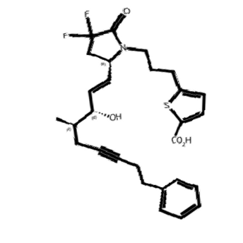 C[C@H](CC#CCCc1ccccc1)[C@@H](O)C=C[C@H]1CC(F)(F)C(=O)N1CCCc1ccc(C(=O)O)s1